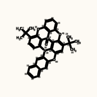 CC(C)(C)c1ccc2c3c1Oc1cccc4c1P3(=O)c1c(c(C(C)(C)C)cc3c1N2c1cc2ccccc2cc1O3)O4